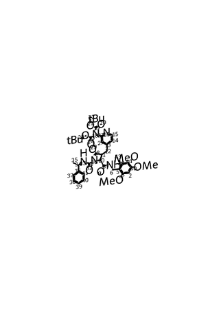 COc1cc(OC)c(CNC(=O)[C@@H]2C(Cc3ccnc(N(C(=O)OC(C)(C)C)C(=O)OC(C)(C)C)c3)C(=O)N2C(=O)N[C@H](C)c2ccccc2)c(OC)c1